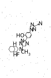 CN(c1cnc(-c2ccc(-n3cnc(C#N)n3)cc2O)nn1)[C@H]1C[C@@H]2CCC[C@@H](C2)[C@H]1F